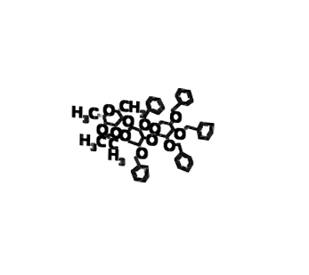 C[C@@H]1O[C@H](C)C(O[C@@H]2OC[C@@H](OCc3ccccc3)C(O[C@@H]3OC[C@@H](OCc4ccccc4)C(OCc4ccccc4)C3OCc3ccccc3)C2OCc2ccccc2)C2OC(C)(C)OC21